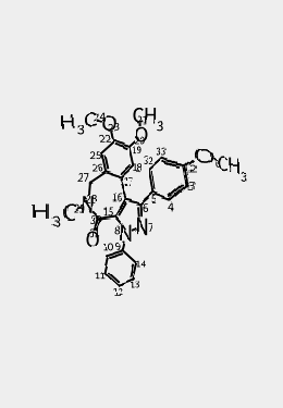 COc1ccc(-c2nn(-c3ccccc3)c3c2-c2cc(OC)c(OC)cc2CN(C)C3=O)cc1